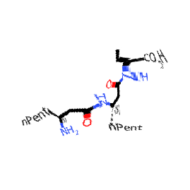 CC=C(NC(=O)C[C@H](CCCCC)NC(=O)C[C@@H](N)CCCCC)C(=O)O